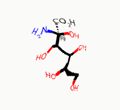 N[C@](O)(C(=O)O)C(O)C(O)C(O)CO